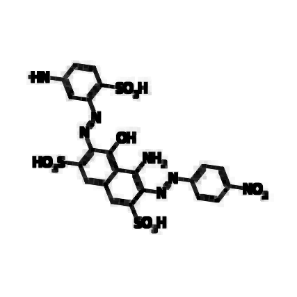 [NH]c1ccc(S(=O)(=O)O)c(N=Nc2c(S(=O)(=O)O)cc3cc(S(=O)(=O)O)c(N=Nc4ccc([N+](=O)[O-])cc4)c(N)c3c2O)c1